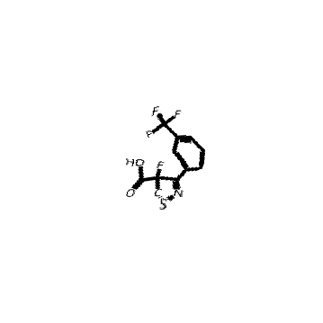 O=C(O)C1(F)CSN=C1c1cccc(C(F)(F)F)c1